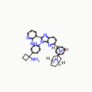 CC(=O)N(C)C1C[C@H]2CC[C@@H](C1)N2c1cccc(-c2ccc3nc(-c4cccnc4N)n(-c4ccc(C5(N)CCC5)cc4)c3n2)c1